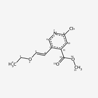 CCOC=Cc1cnc(Cl)cc1C(=O)OC